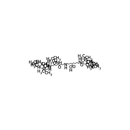 C=C(C)C1CCC2(C(=O)NCCCCC(CCCNCCCC(=O)C(CCCCNC(=O)C34CCC(C(=C)C)C3[C@H]3CC[C@@H]5[C@@]6(C)CCC(=O)C(C)(C)[C@@H]6CC[C@@]5(C)[C@]3(C)CC4)NC(=O)OC(C)(C)C)C(=O)O)CC[C@]3(C)[C@H](CC[C@@H]4[C@@]5(C)CCC(=O)C(C)(C)[C@@H]5CC[C@]43C)C12